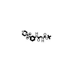 CC(C)(C)OC(=O)NCC(=O)Nc1cccc(S(=O)(=O)N2CCSCC2)c1